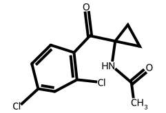 CC(=O)NC1(C(=O)c2ccc(Cl)cc2Cl)CC1